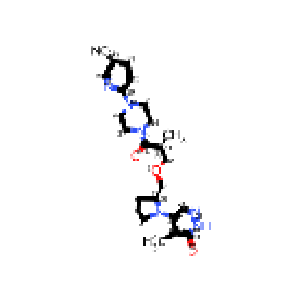 Cc1c(N2CCC[C@H]2COC[C@H](C)C(=O)N2CCN(c3ccc(C#N)cn3)CC2)cn[nH]c1=O